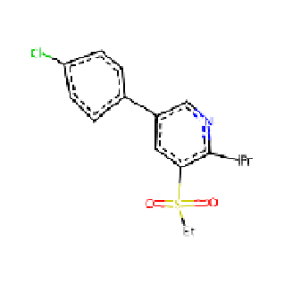 CCS(=O)(=O)c1cc(-c2ccc(Cl)cc2)cnc1C(C)C